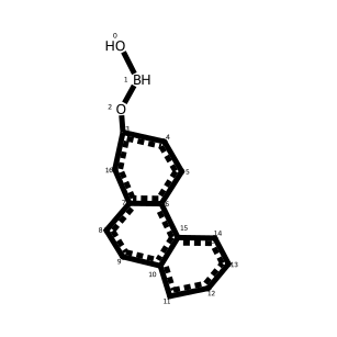 OBOc1ccc2c(ccc3ccccc32)c1